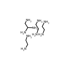 NCC(N)N.NCCN.NCCN.NCCN